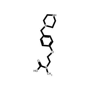 CN(CCOc1ccc(CN2CCNCC2)cc1)C(=O)O